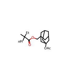 CCCC(C)(CC)C(=O)OCC12CC3CC(C1)CC(OC(C)=O)(C3)C2